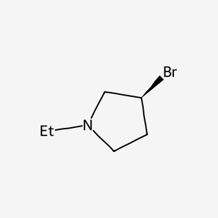 CCN1CC[C@H](Br)C1